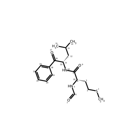 CSCC[C@H](NC=O)C(=O)N[C@@H](CC(C)C)C(=O)c1[c]cccc1